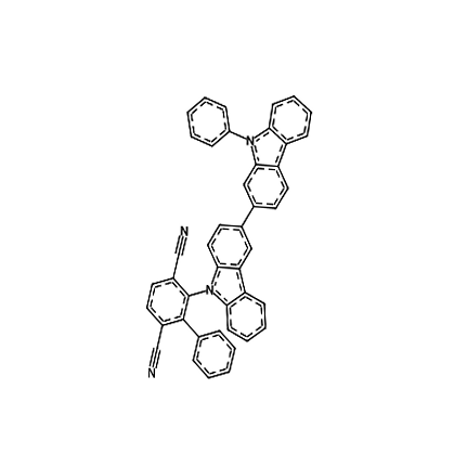 N#Cc1ccc(C#N)c(-n2c3ccccc3c3cc(-c4ccc5c6ccccc6n(-c6ccccc6)c5c4)ccc32)c1-c1ccccc1